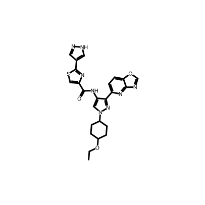 CCOC1CCC(n2cc(NC(=O)c3csc(-c4cn[nH]c4)n3)c(-c3ccc4ocnc4n3)n2)CC1